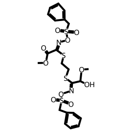 COC(=O)/C(=N/OS(=O)(=O)Cc1ccccc1)SCCS/C(=N\OS(=O)(=O)Cc1ccccc1)C(O)OC